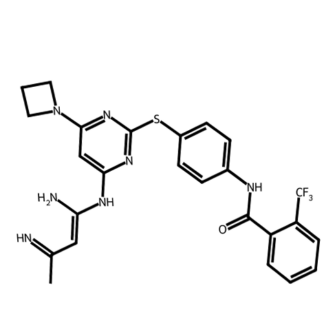 CC(=N)/C=C(\N)Nc1cc(N2CCC2)nc(Sc2ccc(NC(=O)c3ccccc3C(F)(F)F)cc2)n1